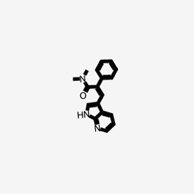 CN(C)C(=O)C(=Cc1c[nH]c2ncccc12)c1ccccc1